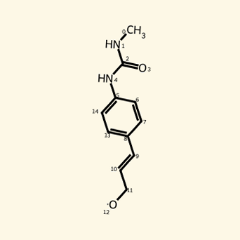 CNC(=O)Nc1ccc(C=CC[O])cc1